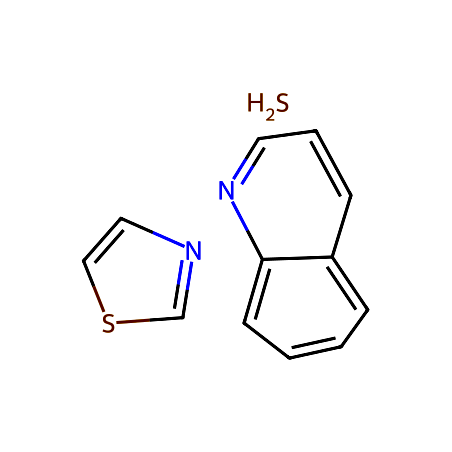 S.c1ccc2ncccc2c1.c1cscn1